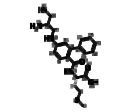 CSCC[C@H](NC(=O)c1ccc(NCC(N)CS)cc1-c1ccccc1)C(=O)O